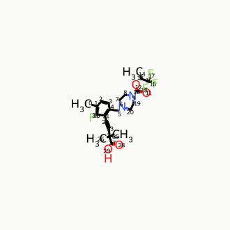 Cc1ccc(CN2CCN(C(=O)OC(C)C(F)(F)F)CC2)c(C#CC(C)(C)C(=O)O)c1F